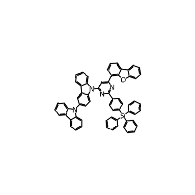 c1ccc([Si](c2ccccc2)(c2ccccc2)c2ccc(-c3nc(-c4cccc5c4oc4ccccc45)cc(-n4c5ccccc5c5cc(-n6c7ccccc7c7ccccc76)ccc54)n3)cc2)cc1